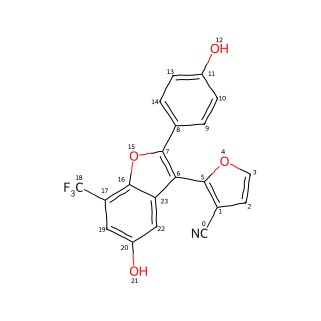 N#Cc1ccoc1-c1c(-c2ccc(O)cc2)oc2c(C(F)(F)F)cc(O)cc12